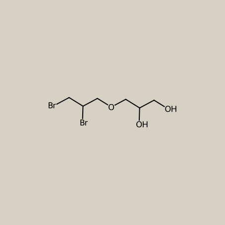 OCC(O)COCC(Br)CBr